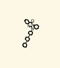 O=c1c2ccccc2nc2n(-c3ccc(-c4ccc(-c5ccccc5)cc4)cc3)c3ccccc3n12